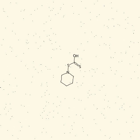 OC(=S)SN1CCCCC1